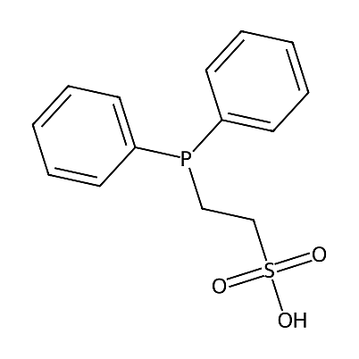 O=S(=O)(O)CCP(c1ccccc1)c1ccccc1